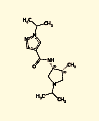 CC(C)N1C[C@@H](C)[C@@H](NC(=O)c2cnn(C(C)C)c2)C1